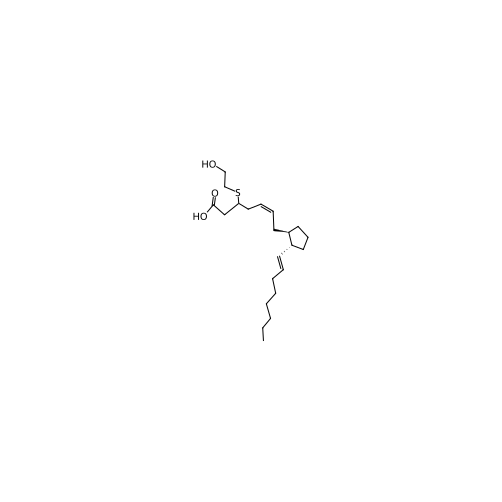 CCCCCC/C=C/[C@H]1CCC[C@@H]1C/C=C\CC(CC(=O)O)SCCO